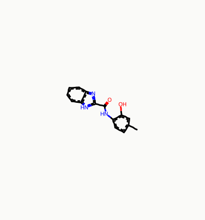 Cc1ccc(NC(=O)c2nc3ccccc3[nH]2)c(O)c1